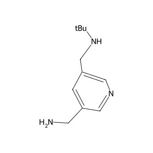 CC(C)(C)NCc1cncc(CN)c1